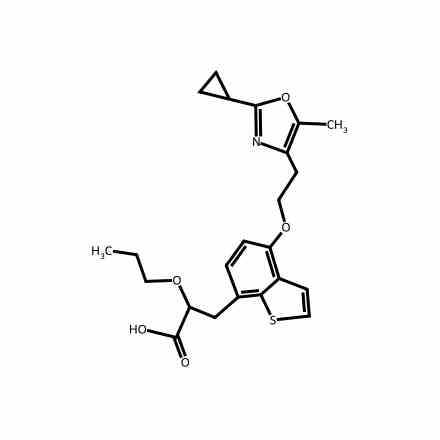 CCCOC(Cc1ccc(OCCc2nc(C3CC3)oc2C)c2ccsc12)C(=O)O